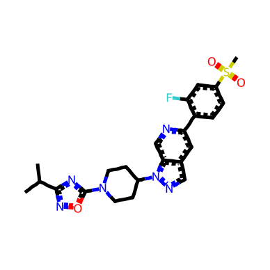 CC(C)c1noc(N2CCC(n3ncc4cc(-c5ccc(S(C)(=O)=O)cc5F)ncc43)CC2)n1